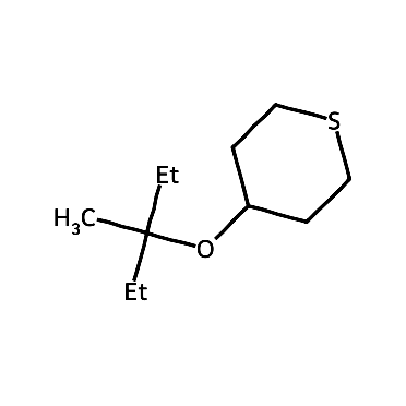 CCC(C)(CC)OC1CCSCC1